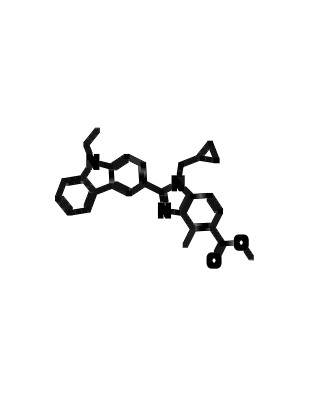 CCn1c2ccccc2c2cc(-c3nc4c(C)c(C(=O)OC)ccc4n3CC3CC3)ccc21